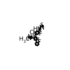 Cn1cc(-c2cc(-c3ccccc3F)ncc2Oc2cc(F)c(SNc3cscn3)cc2Cl)cn1